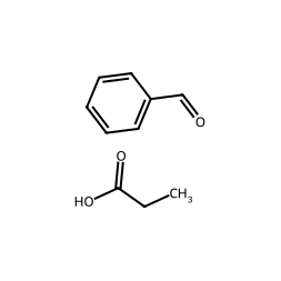 CCC(=O)O.O=Cc1ccccc1